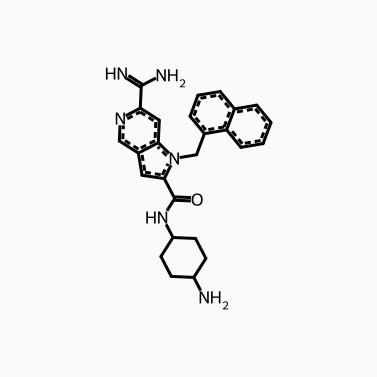 N=C(N)c1cc2c(cn1)cc(C(=O)NC1CCC(N)CC1)n2Cc1cccc2ccccc12